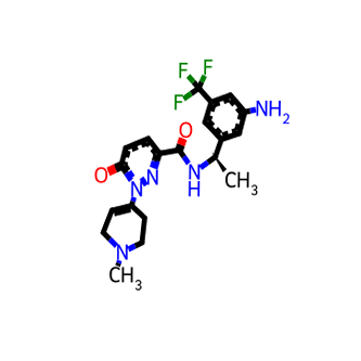 C[C@@H](NC(=O)c1ccc(=O)n(C2=CCN(C)CC2)n1)c1cc(N)cc(C(F)(F)F)c1